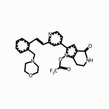 O=C1NCCc2c1cc(-c1ccnc(C=Cc3ccccc3CN3CCOCC3)c1)n2OC(=O)C(F)(F)F